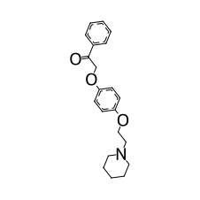 O=C(COc1ccc(OCCN2CCCCC2)cc1)c1ccccc1